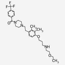 CCOCCNCCCOc1ccc(CCN2CCN(C(=O)c3ccc(C(F)(F)F)cc3)CC2)c(C)c1C